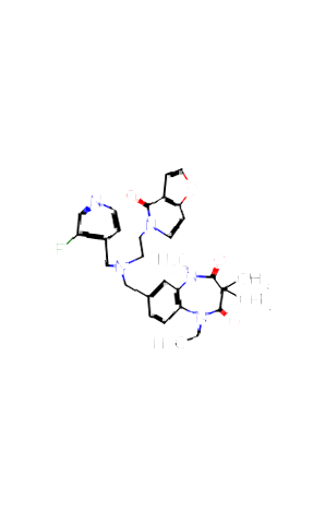 CCN1C(=O)C(C)(C)C(=O)N(C)c2cc(CN(CCn3ccc4occc4c3=O)Cc3ccncc3F)ccc21